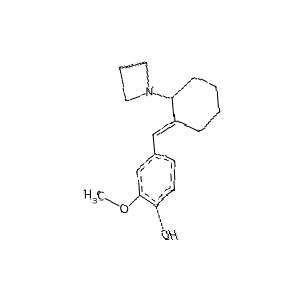 COc1cc(C=C2CCCCC2N2CCC2)ccc1O